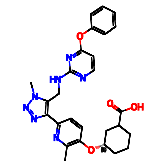 Cc1nc(-c2nnn(C)c2CNc2nccc(Oc3ccccc3)n2)ccc1O[C@H]1CCCC(C(=O)O)C1